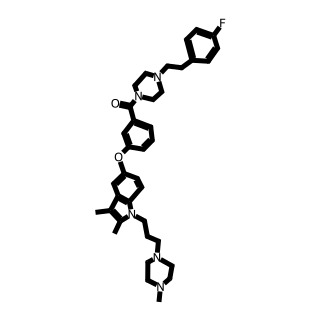 Cc1c(C)n(CCCN2CCN(C)CC2)c2ccc(Oc3cccc(C(=O)N4CCN(CCc5ccc(F)cc5)CC4)c3)cc12